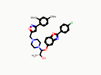 COc1ccc(-c2cc(CN3CCN(C(Oc4ccc5oc(-c6ccc(Cl)cc6)nc5c4)[C@@H](C)O)CC3)on2)c(OC)c1